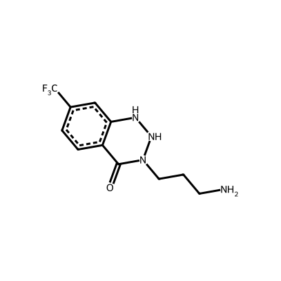 NCCCN1NNc2cc(C(F)(F)F)ccc2C1=O